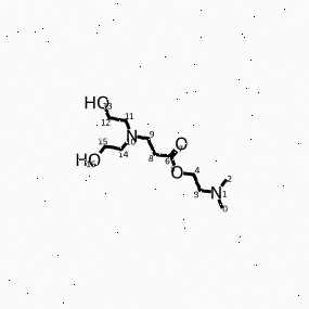 CN(C)CCOC(=O)CCN(CCO)CCO